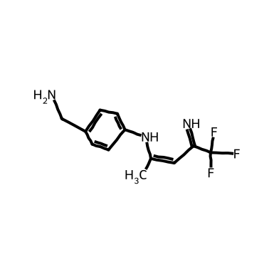 C/C(=C/C(=N)C(F)(F)F)Nc1ccc(CN)cc1